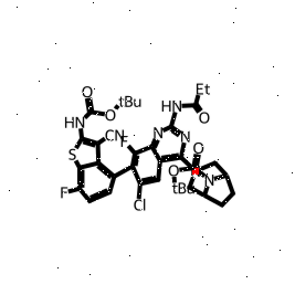 CCC(=O)Nc1nc(N2CC3CCC(C2)N3C(=O)OC(C)(C)C)c2cc(Cl)c(-c3ccc(F)c4sc(NC(=O)OC(C)(C)C)c(C#N)c34)c(F)c2n1